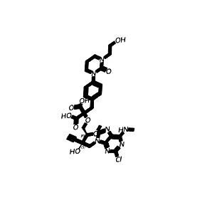 C#C[C@](O)(Cn1cnc2c(NC)nc(Cl)nc21)[C@@H](COC(Cc1ccc(N2CCCN(CCO)C2=O)cc1)(C(=O)O)C(=O)O)OC